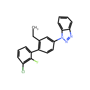 CCc1cc(-n2nnc3ccccc32)ccc1-c1cccc(Cl)c1F